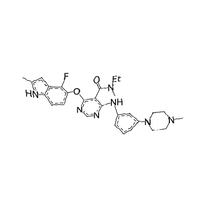 CCN(C)C(=O)c1c(Nc2cccc(N3CCN(C)CC3)c2)ncnc1Oc1ccc2[nH]c(C)cc2c1F